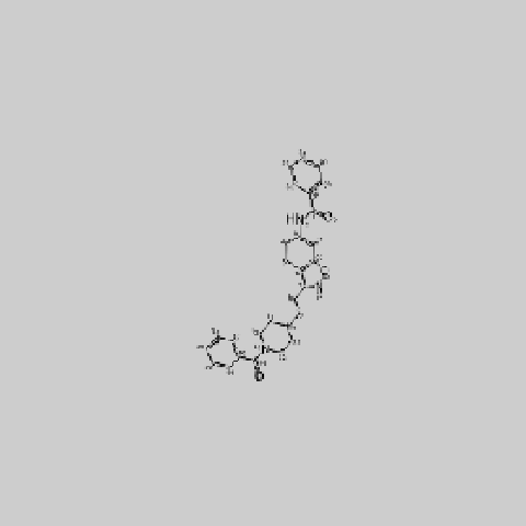 O=C(Nc1ccc2c(CCC3CCN(C(=O)c4ccccc4)CC3)noc2c1)c1ccccc1